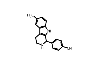 Cc1ccc2[nH]c3c(c2c1)CCNC3c1ccc(C#N)cc1